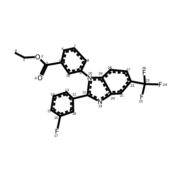 CCOC(=O)c1cccc(-n2c(-c3cccc(F)c3)nc3cc(C(F)(F)F)ccc32)c1